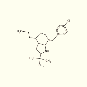 CCCC1CCN(Cc2ccc(Cl)cc2)C2NC(C(C)(C)C)CC12